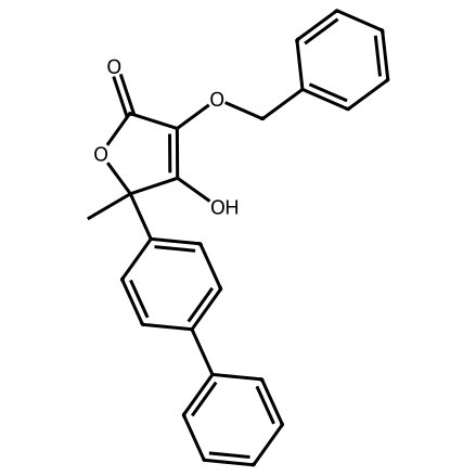 CC1(c2ccc(-c3ccccc3)cc2)OC(=O)C(OCc2ccccc2)=C1O